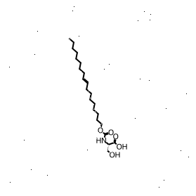 CCCCCCCCC=CCCCCCCCCOC(=O)N[C@@H](CO)C(=O)O